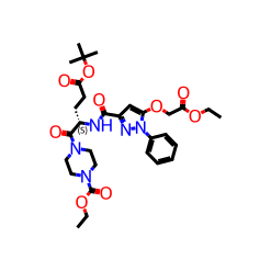 CCOC(=O)COc1cc(C(=O)N[C@@H](CCC(=O)OC(C)(C)C)C(=O)N2CCN(C(=O)OCC)CC2)nn1-c1ccccc1